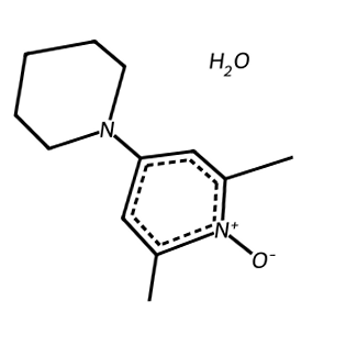 Cc1cc(N2CCCCC2)cc(C)[n+]1[O-].O